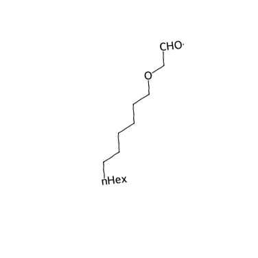 CCCCCCCCCCCCOC[C]=O